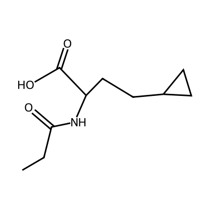 CCC(=O)NC(CCC1CC1)C(=O)O